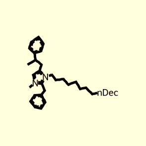 CCCCCCCCCCCCCCCCCC[n+]1c(CC(C)c2ccccc2)cn(C)c1Cc1ccccc1